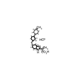 CN1CCN(c2ccc(Sc3ccc4[nH]c(N(C)C(=O)O)nc4c3)cc2)CC1.Cl